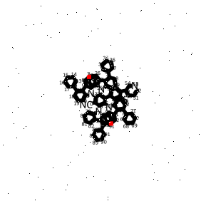 N#Cc1c(-n2c3ccccc3c3c(-c4ccccc4)cccc32)c(-n2c3ccccc3c3c(-c4ccccc4)cccc32)c(-c2ccc3c(c2)sc2ccncc23)c(-n2c3ccccc3c3c(-c4ccccc4)cccc32)c1-n1c2ccccc2c2c(-c3ccccc3)cccc21